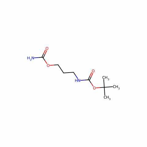 CC(C)(C)OC(=O)NCCCOC(N)=O